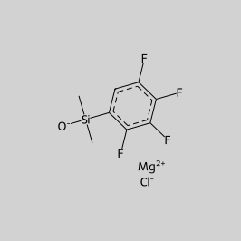 C[Si](C)([O-])c1cc(F)c(F)c(F)c1F.[Cl-].[Mg+2]